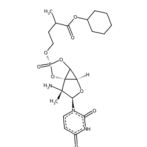 CC(CCO[P@]1(=O)OC2[C@H]3O[C@@H](n4ccc(=O)[nH]c4=O)[C@](C)(N)[C@@]23O1)C(=O)OC1CCCCC1